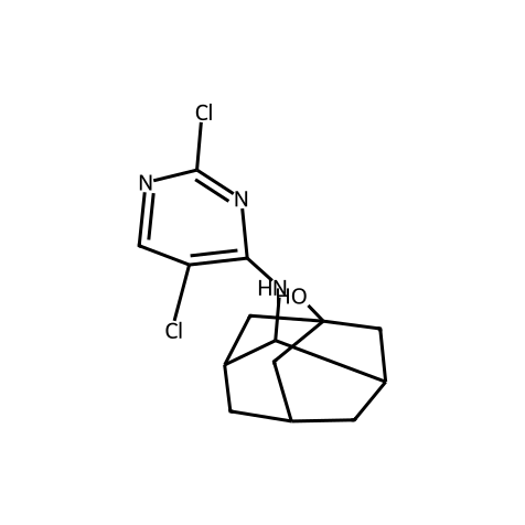 OC12CC3CC(C1)C(Nc1nc(Cl)ncc1Cl)C(C3)C2